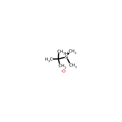 C[SiH](C)C(C)(C)C.[O]